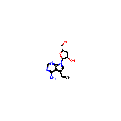 C=Cc1cn(C2O[C@H](CO)C[C@H]2O)c2ncnc(N)c12